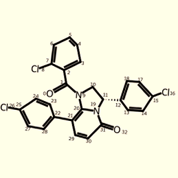 O=C(c1ccccc1Cl)N1C[C@H](c2ccc(Cl)cc2)n2c1c(-c1ccc(Cl)cc1)ccc2=O